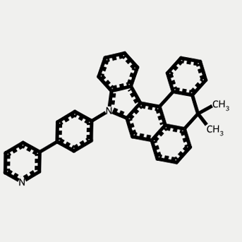 CC1(C)c2ccccc2-c2c3c1cccc3cc1c2c2ccccc2n1-c1ccc(-c2cccnc2)cc1